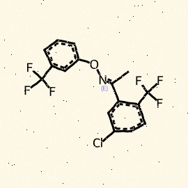 C/C(=N\Oc1cccc(C(F)(F)F)c1)c1cc(Cl)ccc1C(F)(F)F